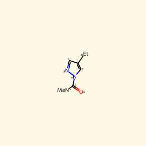 CCc1cnn(C(=O)NC)c1